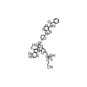 N#CCCOP(O)(=S)OC[C@@H]1C[C@@H](OP(=O)(S)OC[C@@H]2CCC(n3cnc4c(NC(=O)c5ccccc5)ncnc43)O2)[C@H](n2cc(F)c3c(=O)[nH]cnc32)O1